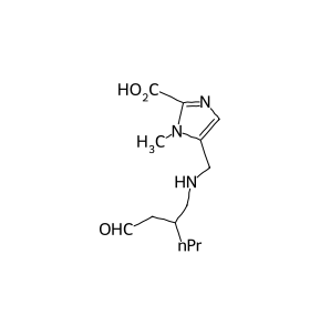 CCCC(CC=O)CNCc1cnc(C(=O)O)n1C